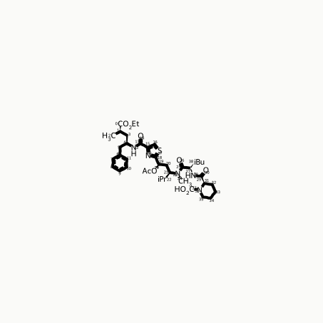 CCOC(=O)[C@@H](C)C[C@H](Cc1ccccc1)NC(=O)c1csc([C@@H](C[C@H](C(C)C)N(C)C(=O)[C@@H](NC(=O)[C@H]2CCCCN2C(=O)O)[C@@H](C)CC)OC(C)=O)n1